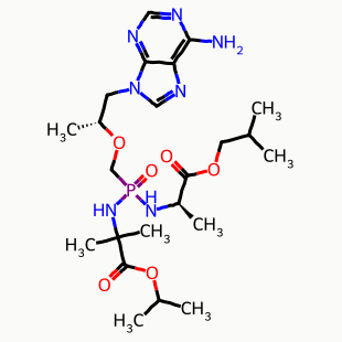 CC(C)COC(=O)[C@@H](C)NP(=O)(CO[C@H](C)Cn1cnc2c(N)ncnc21)NC(C)(C)C(=O)OC(C)C